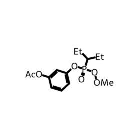 CCC(CC)P(=O)(OOC)Oc1cccc(OC(C)=O)c1